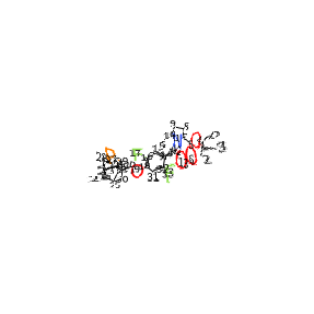 CC(C)(C)OC(=O)C1CCCN1C(=O)c1cc(F)c(OCC23CC4CC(CP(C4)C2)C3)cc1F